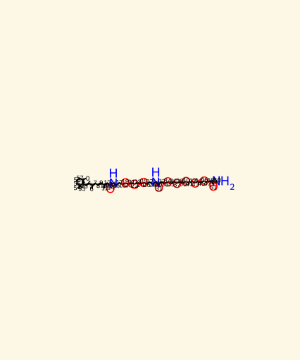 CC1=C(/C=C/C(C)=C/C=C/C(C)=C/C(=O)NCCCOCCOCCOCCCNC(=O)CCOCCOCCOCCOCCOCCC(N)=O)C(C)(C)CCC1